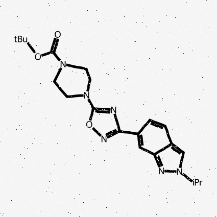 CC(C)n1cc2ccc(-c3noc(N4CCN(C(=O)OC(C)(C)C)CC4)n3)cc2n1